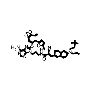 C=CC1=C(/C=C(\Cc2ccc(C)o2)Sc2nc3c(N)ncnc3n2CCCNC(=O)/C(C#N)=C/C2=CC3C=CC(N(CCC)CCC(C)(C)C)=CC3C=C2)OCO1